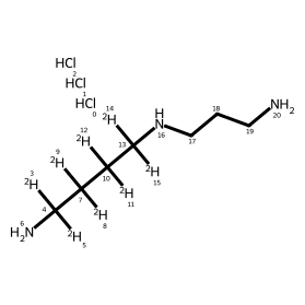 Cl.Cl.Cl.[2H]C([2H])(N)C([2H])([2H])C([2H])([2H])C([2H])([2H])NCCCN